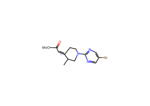 COC(=O)/C=C1\CCN(c2ncc(Br)cn2)CC1C